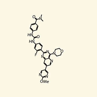 COc1ncc(-c2cnc3c(N4CCOCC4)nc(-c4ccc(NC(=O)Nc5ccc(C(=O)N(C)C)cc5)cc4F)nc3c2)cn1